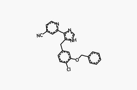 N#Cc1ccnc(-c2nc[nH]c2Cc2ccc(Cl)c(OCc3ccccc3)c2)c1